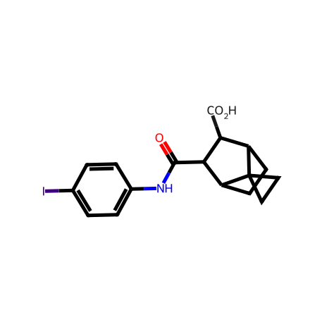 O=C(O)C1C(C(=O)Nc2ccc(I)cc2)C2CCC1C21CC1